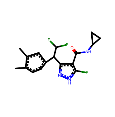 Cc1ccc(C(c2n[nH]c(F)c2C(=O)NC2CC2)C(F)F)cc1C